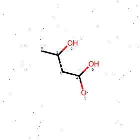 CC(O)CC([O])O